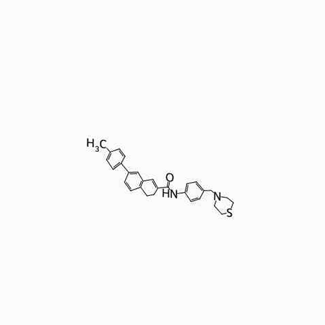 Cc1ccc(-c2ccc3c(c2)C=C(C(=O)Nc2ccc(CN4CCSCC4)cc2)CC3)cc1